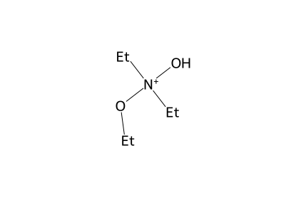 CCO[N+](O)(CC)CC